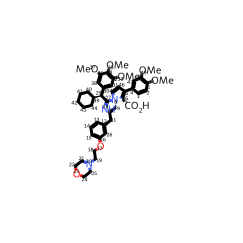 COc1ccc(C2=C(C(=O)O)[N@@+](CCCc3cccc(OCCN4CCOCC4)c3)(C(=N)[C@H](c3cc(OC)c(OC)c(OC)c3)C3CCCCC3)C=C2)cc1OC